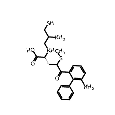 CSC(C[C@@H](NCC(N)CS)C(=O)O)C(=O)c1cccc(N)c1-c1ccccc1